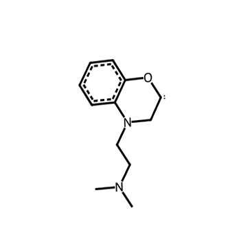 CN(C)CCN1C[C]Oc2ccccc21